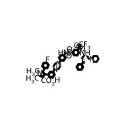 Cc1c(C(=O)O)c(-c2cccc(N3CCN(c4ccc(NS(=O)(=O)c5ccc(N[C@H](CCN6CCCCC6)CSc6ccccc6)c(S(=O)(=O)C(F)(F)F)c5)cc4)CC3)c2)c(-c2ccc(F)cc2)n1C